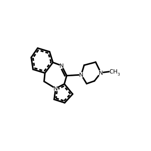 CN1CCN(C2=Nc3ccccc3Cn3cccc32)CC1